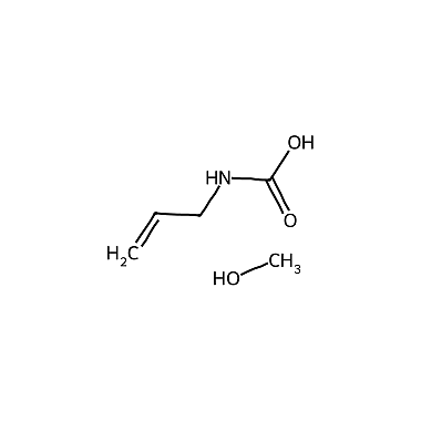 C=CCNC(=O)O.CO